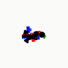 CNC(=O)c1c(-c2ccc(Oc3ccc(F)cc3)cc2)oc2cc(NS(=O)(=O)CC(C)CN)c(C3CC3)cc12